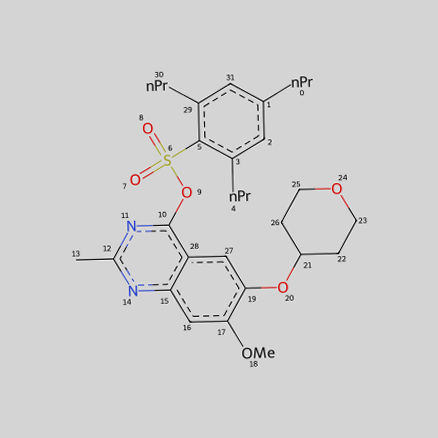 CCCc1cc(CCC)c(S(=O)(=O)Oc2nc(C)nc3cc(OC)c(OC4CCOCC4)cc23)c(CCC)c1